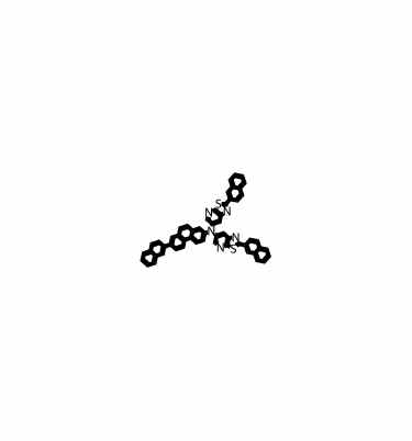 c1ccc2cc(-c3ccc4c(ccc5cc(N(c6cnc7sc(-c8ccc9ccccc9c8)nc7c6)c6cnc7sc(-c8ccc9ccccc9c8)nc7c6)ccc54)c3)ccc2c1